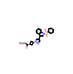 CNC(=O)[C@H]1C[C@H](n2cc(-c3cn(S(=O)(=O)c4ccccc4)c4cc(F)ccc34)cn2)C1